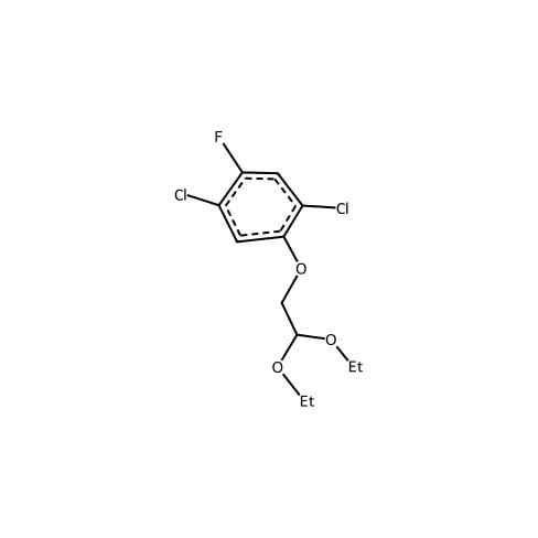 CCOC(COc1cc(Cl)c(F)cc1Cl)OCC